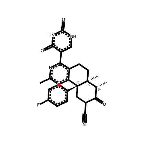 Cc1nc(-c2c[nH]c(=O)[nH]c2=O)c2c(n1)[C@@]1(c3ccc(F)cc3)CC(C#N)C(=O)[C@@H](C)[C@@H]1CC2